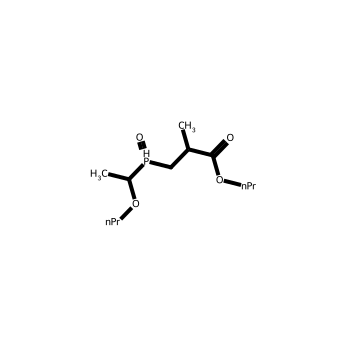 CCCOC(=O)C(C)C[PH](=O)C(C)OCCC